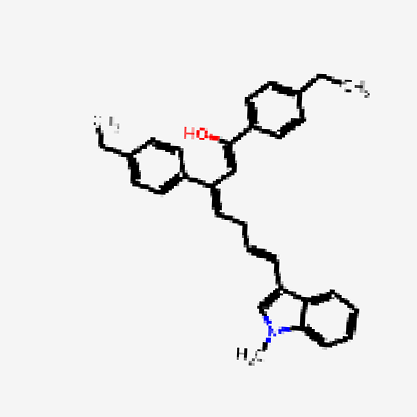 CCc1ccc(/C(O)=C/C(=C\C/C=C/c2cn(C)c3ccccc23)c2ccc(CC)cc2)cc1